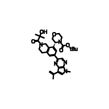 C=C(C)c1cn(C)c2ncc(-c3cc4c(c([C@@H]5COCCN5C(=O)OC(C)(C)C)c3)CN(C(=O)C(C)(C)O)CC4)nc12